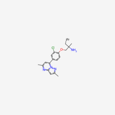 Cc1cc(-c2ccc(OCC(C)(N)CC(C)C)c(Cl)c2)n2nc(C)cc2n1